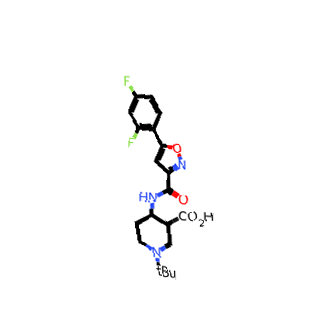 CC(C)(C)N1CCC(NC(=O)c2cc(-c3ccc(F)cc3F)on2)C(C(=O)O)C1